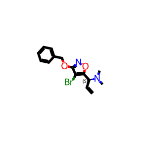 C=C[C@@H](c1onc(OCc2ccccc2)c1Br)N(C)C